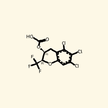 O=C(O)O[C@H]1Cc2c(cc(Cl)c(Cl)c2Cl)O[C@H]1C(F)(F)F